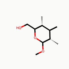 COC1OC(CO)[C@H](C)C(C)[C@@H]1C